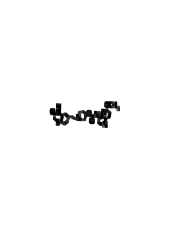 COc1ccc2nccc(NC(=O)OC3CCN(CCc4ccc5c(c4)NC(=O)CS5)CC3)c2n1